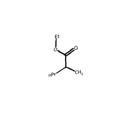 [CH2]CCC(C)C(=O)OCC